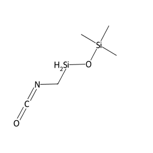 C[Si](C)(C)O[SiH2]CN=C=O